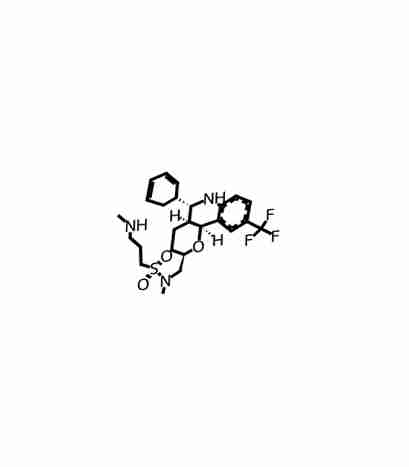 CNCCCS(=O)(=O)N(C)C[C@H]1CC[C@@H]2[C@H](O1)c1cc(C(F)(F)F)ccc1N[C@H]2C1C=CC=CC1